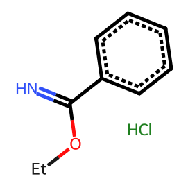 CCOC(=N)c1ccccc1.Cl